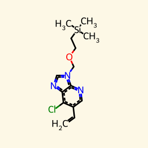 C=Cc1cnc2c(ncn2COCC[Si](C)(C)C)c1Cl